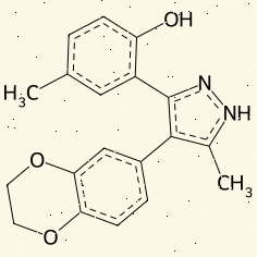 Cc1ccc(O)c(-c2n[nH]c(C)c2-c2ccc3c(c2)OCCO3)c1